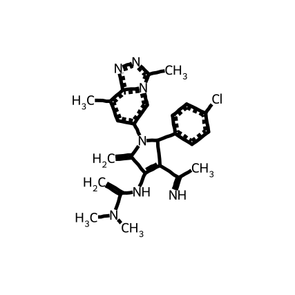 C=C(NC1=C(C(C)=N)C(c2ccc(Cl)cc2)N(c2cc(C)c3nnc(C)n3c2)C1=C)N(C)C